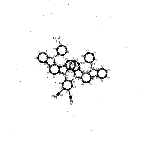 Cc1cccc(-n2c3ccccc3c3ccc4c(c5ccccc5n4-c4cc(C#N)c(C#N)cc4-n4c5ccccc5c5c4ccc4c6ccccc6n(-c6ccccc6)c45)c32)c1